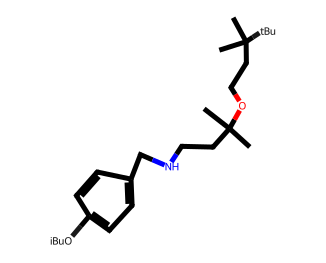 CC(C)COc1ccc(CNCCC(C)(C)OCCC(C)(C)C(C)(C)C)cc1